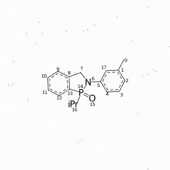 Cc1cccc(N2Cc3ccccc3P2(=O)C(C)C)c1